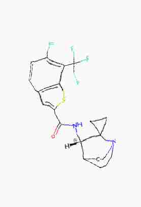 O=C(N[C@H]1C2CCN(CC2)C12CC2)c1cc2ccc(F)c(C(F)(F)F)c2s1